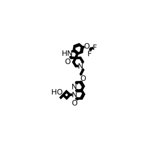 CC1(O)CC(n2c(=O)ccc3cc(OCCN4CCC5(CC4)C(=O)Nc4ccc(OC(F)F)cc45)cnc32)C1